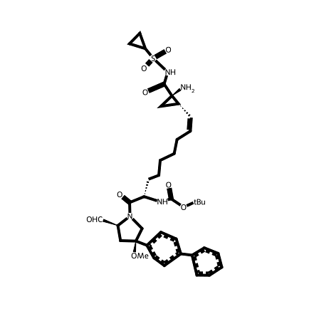 CO[C@@]1(c2ccc(-c3ccccc3)cc2)C[C@@H](C=O)N(C(=O)[C@H](CCCCC/C=C\[C@@H]2C[C@]2(N)C(=O)NS(=O)(=O)C2CC2)NC(=O)OC(C)(C)C)C1